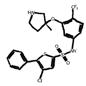 C[C@@]1(Oc2cc(NS(=O)(=O)c3cc(Cl)c(-c4ccccc4)s3)ccc2C(F)(F)F)CCNC1